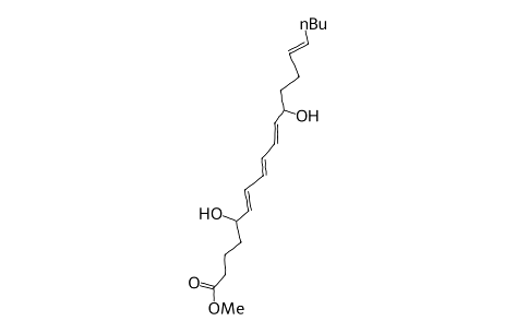 CCCCC=CCCC(O)C=CC=CC=CC(O)CCCC(=O)OC